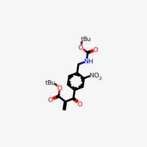 C=C(C(=O)OC(C)(C)C)C(=O)c1ccc(CNC(=O)OC(C)(C)C)c([N+](=O)[O-])c1